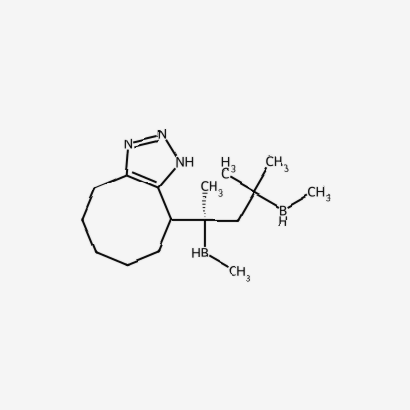 CBC(C)(C)C[C@@](C)(BC)C1CCCCCc2nn[nH]c21